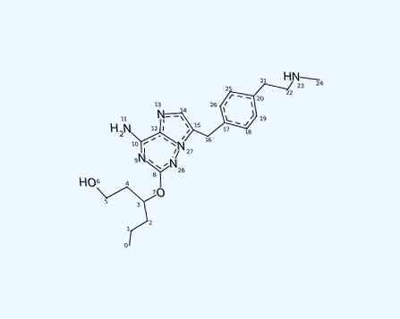 CCCC(CCO)Oc1nc(N)c2ncc(Cc3ccc(CCNC)cc3)n2n1